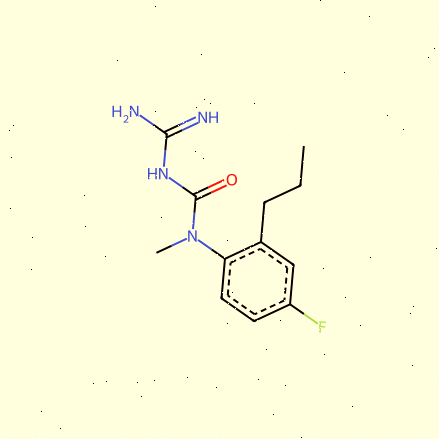 CCCc1cc(F)ccc1N(C)C(=O)NC(=N)N